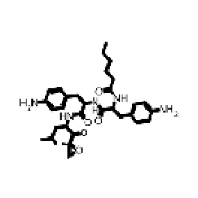 CCCCCC(=O)NC(Cc1ccc(N)cc1)C(=O)NC(Cc1ccc(N)cc1)C(=O)NC(CC(C)C)C(=O)[C@@]1(C)CO1